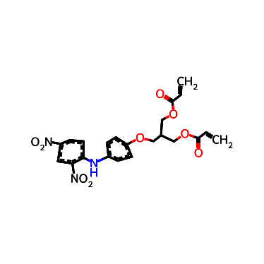 C=CC(=O)OCC(COC(=O)C=C)COc1ccc(Nc2ccc([N+](=O)[O-])cc2[N+](=O)[O-])cc1